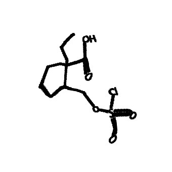 CCC1(C(=O)O)CCCC1COS(=O)(=O)Cl